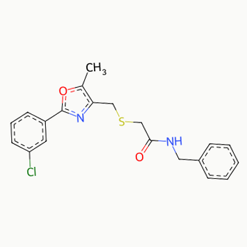 Cc1oc(-c2cccc(Cl)c2)nc1CSCC(=O)NCc1ccccc1